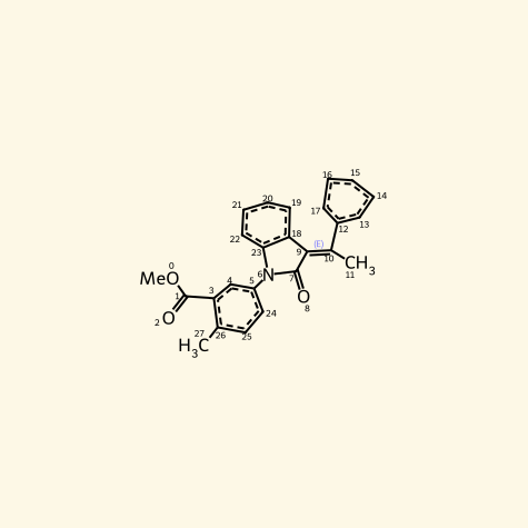 COC(=O)c1cc(N2C(=O)/C(=C(\C)c3ccccc3)c3ccccc32)ccc1C